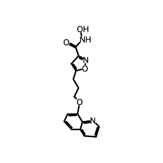 O=C(NO)c1cc(CCCOc2cccc3cccnc23)on1